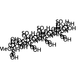 CO[C@H]1OC(CO)[C@@H](O[C@H]2C[C@H](O)[C@@H](O[C@@H]3OC(COS(=O)(=O)O)[C@@H](O[C@H]4C[C@H](O)[C@@H](O[C@@H]5OC(COS(=O)(=O)O)[C@@H](O[C@H]6C[C@H](O)[C@@H](O[C@@H]7OC(COS(=O)(=O)O)[C@@H](O[C@H]8C[C@H](O)[C@H](O)C(C)O8)[C@H](O)C7NSOOO)C(C)O6)[C@H](O)C5NSOOO)C(C)O4)[C@H](O)C3NSOOO)C(C)O2)[C@H](O)C1NSOOO